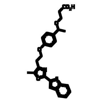 Cc1oc(-c2cc3ccccc3s2)nc1CCOc1ccc(C(C)OCCC(=O)O)cc1